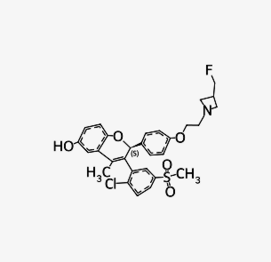 CC1=C(c2cc(S(C)(=O)=O)ccc2Cl)[C@H](c2ccc(OCCN3CC(CF)C3)cc2)Oc2ccc(O)cc21